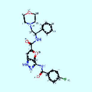 O=C(Nc1n[nH]c2cc(C(=O)NC(CN3CCOCC3)c3ccccc3)oc12)c1ccc(F)cc1